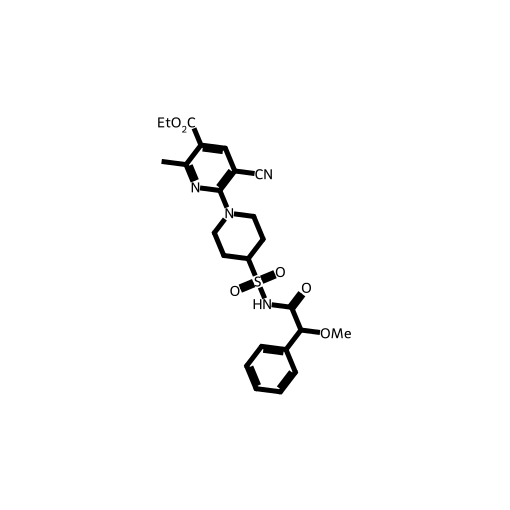 CCOC(=O)c1cc(C#N)c(N2CCC(S(=O)(=O)NC(=O)C(OC)c3ccccc3)CC2)nc1C